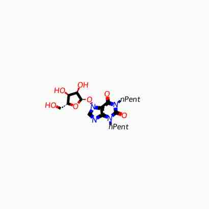 CCCCCn1c(=O)c2c(ncn2O[C@@H]2O[C@H](CO)[C@@H](O)[C@H]2O)n(CCCCC)c1=O